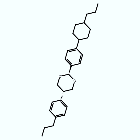 CCCc1ccc([C@H]2CO[C@H](c3ccc(C4CCC(CCC)CC4)cc3)OC2)cc1